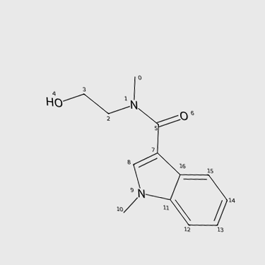 CN(CCO)C(=O)c1cn(C)c2ccccc12